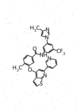 Cc1cn(-c2cc(NC(=O)c3ccc(C)c(Oc4cc(-c5cccnc5)nc5sccc45)c3)cc(C(F)(F)F)c2)cn1